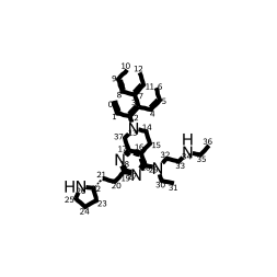 C=C/C(=C(/C=C\C)C(\C=C/C)=C\C)N1CCc2c(nc(CC[C@@H]3CCCN3)nc2N(CC)CCNCC)C1